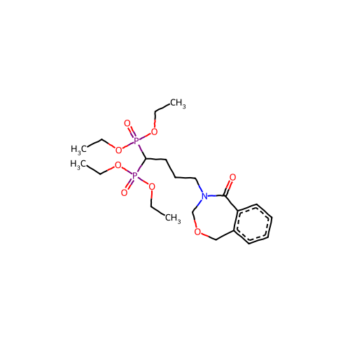 CCOP(=O)(OCC)C(CCCN1COCc2ccccc2C1=O)P(=O)(OCC)OCC